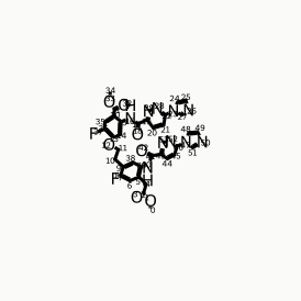 COC(=O)Cc1cc(F)c(CCOc2cc(NC(=O)c3ccc(-n4ccnc4)nn3)c(C(=O)OC)cc2F)cc1NC(=O)c1ccc(-n2ccnc2)nn1